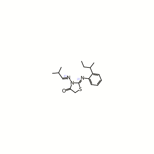 CCC(C)c1ccccc1/N=C1\SCC(=O)N1/N=C/C(C)C